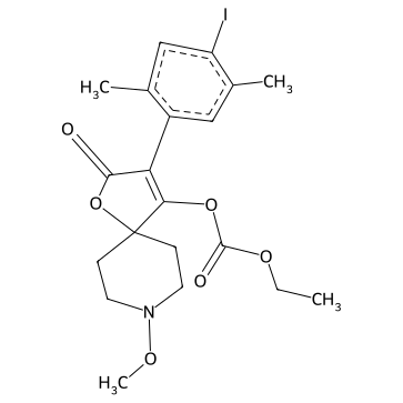 CCOC(=O)OC1=C(c2cc(C)c(I)cc2C)C(=O)OC12CCN(OC)CC2